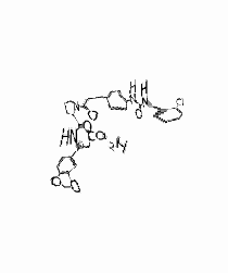 O=C(O)C[C@H](NC(=O)C1CCCN1C(=O)Cc1ccc(NC(=O)Nc2ccccc2Cl)cc1)c1ccc2c(c1)OCO2